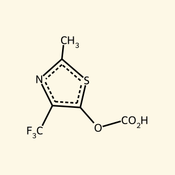 Cc1nc(C(F)(F)F)c(OC(=O)O)s1